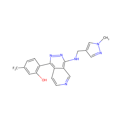 Cn1cc(CNc2nnc(-c3ccc(C(F)(F)F)cc3O)c3ccncc23)cn1